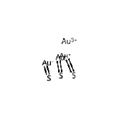 [Au+3].[S]=[Au-].[S]=[Au-].[S]=[Au-]